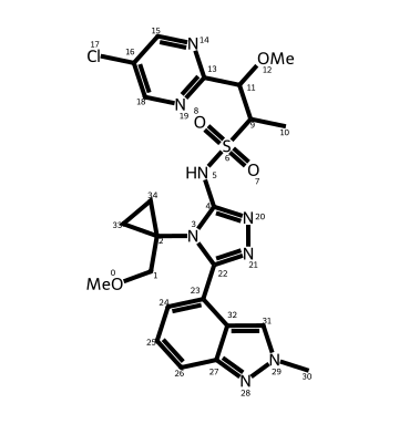 COCC1(n2c(NS(=O)(=O)C(C)C(OC)c3ncc(Cl)cn3)nnc2-c2cccc3nn(C)cc23)CC1